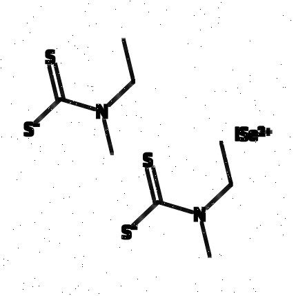 CCN(C)C(=S)[S-].CCN(C)C(=S)[S-].[Se+2]